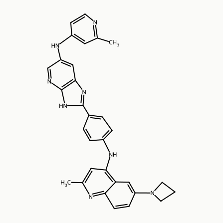 Cc1cc(Nc2cnc3[nH]c(-c4ccc(Nc5cc(C)nc6ccc(N7CCC7)cc56)cc4)nc3c2)ccn1